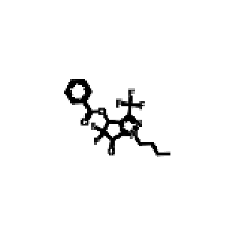 CCCCn1nc(C(F)(F)F)c2c1C(=O)C(F)(F)[C@H]2OC(=O)c1ccccc1